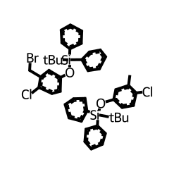 CC(C)(C)[Si](Oc1ccc(Cl)c(CBr)c1)(c1ccccc1)c1ccccc1.Cc1cc(O[Si](c2ccccc2)(c2ccccc2)C(C)(C)C)ccc1Cl